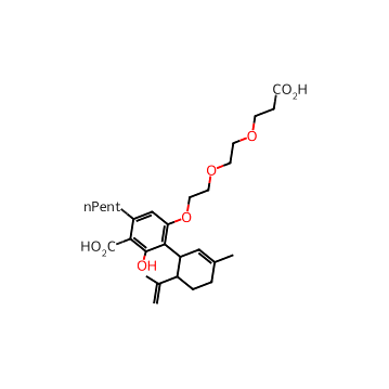 C=C(C)C1CCC(C)=CC1c1c(OCCOCCOCCC(=O)O)cc(CCCCC)c(C(=O)O)c1O